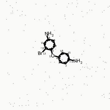 Nc1ccc(Oc2ccc(N)cc2Br)cc1